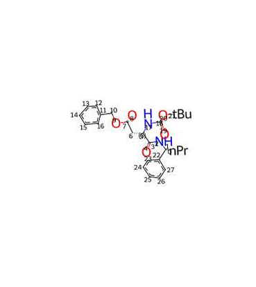 CCCC(NC(=O)[C@H](CC(=O)OCc1ccccc1)NC(=O)OC(C)(C)C)c1ccccc1